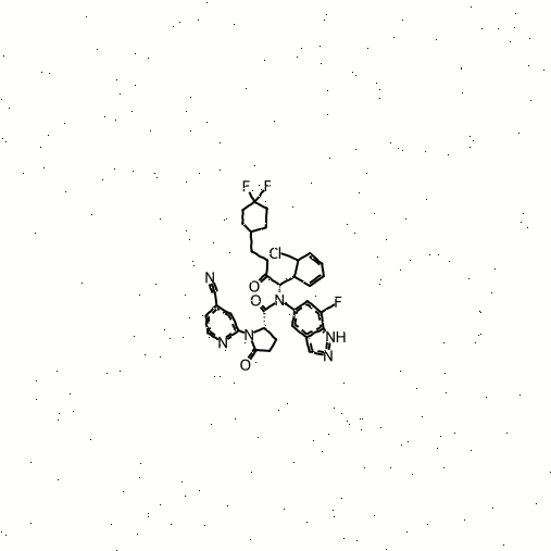 N#Cc1ccnc(N2C(=O)CC[C@H]2C(=O)N(c2cc(F)c3[nH]ncc3c2)[C@H](C(=O)CCC2CCC(F)(F)CC2)C2C=CC=CC2Cl)c1